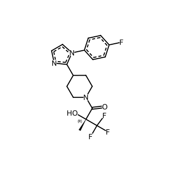 C[C@@](O)(C(=O)N1CCC(c2nccn2-c2ccc(F)cc2)CC1)C(F)(F)F